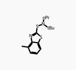 CCCN(Sc1nc2c(C)cccc2s1)C(C)(C)C